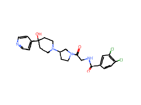 O=C(NCC(=O)N1CCC(N2CCC(O)(c3ccncc3)CC2)C1)c1ccc(Cl)c(Cl)c1